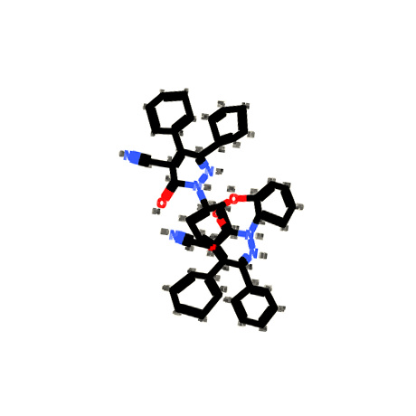 N#Cc1c(-c2ccccc2)c(-c2ccccc2)nn(-c2ccccc2Oc2ccccc2-n2nc(-c3ccccc3)c(-c3ccccc3)c(C#N)c2=O)c1=O